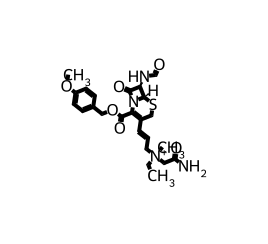 CC[N+](C)(C/C=C/C1=C(C(=O)OCc2ccc(OC)cc2)N2C(=O)[C@@H](NC=O)[C@H]2SC1)CC(N)=O